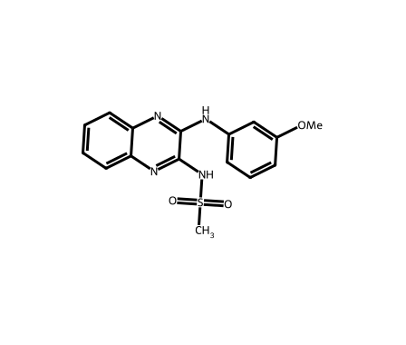 COc1cccc(Nc2nc3ccccc3nc2NS(C)(=O)=O)c1